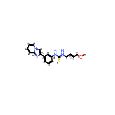 COC/C=C/CNC(=S)Nc1cccc(-c2cn3ccccc3n2)c1